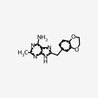 Cc1nc(N)c2nc(Cc3ccc4c(c3)OCCO4)[nH]c2n1